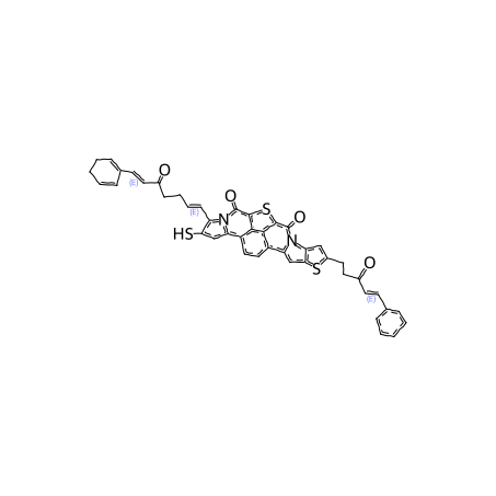 O=C(/C=C/C1=CCCC=C1)CC/C=C/c1c(S)cc2c3ccc4c5c(sc(c(=O)n12)c35)c(=O)n1c2cc(CCC(=O)/C=C/c3ccccc3)sc2cc41